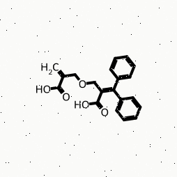 C=C(COCC(C(=O)O)=C(c1ccccc1)c1ccccc1)C(=O)O